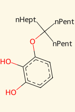 CCCCCCCC(CCCCC)(CCCCC)Oc1cccc(O)c1O